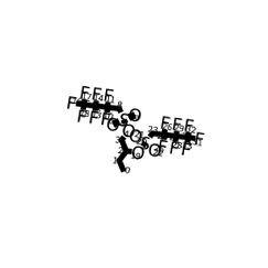 CCC(COS(=O)(=O)CC(F)(F)C(F)(F)C(F)(F)F)OS(=O)(=O)CC(F)(F)C(F)(F)C(F)(F)F